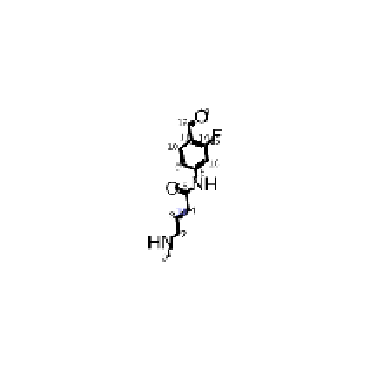 CNC/C=C/C(=O)Nc1ccc(C=O)c(F)c1